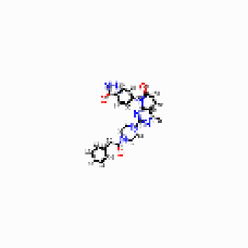 Cc1nc(N2CCN(C(=O)Cc3ccccc3)CC2)nc2c1ccc(=O)n2-c1ccc(C(N)=O)cc1